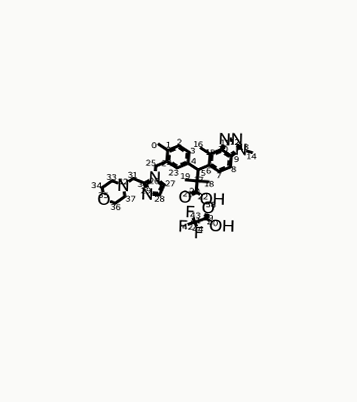 Cc1ccc(C(c2ccc3c(nnn3C)c2C)C(C)(C)C(=O)O)cc1Cn1ccnc1CN1CCOCC1.O=C(O)C(F)(F)F